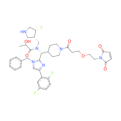 CC(O)C(=O)N(C[C@@H]1CNC[C@@H]1F)[C@@H](c1nc(-c2cc(F)ccc2F)cn1Cc1ccccc1)C1CCN(C(=O)CCOCCN2C(=O)C=CC2=O)CC1